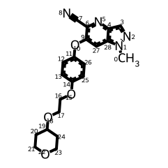 Cn1ncc2nc(C#N)c(Oc3ccc(OCCOC4CCOCC4)cc3)cc21